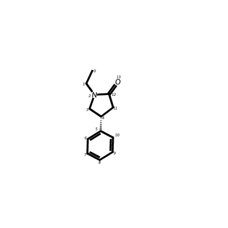 CCN1C[C@@H](c2ccccc2)CC1=O